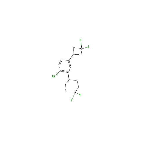 FC1(F)CCC(c2cc(C3CC(F)(F)C3)ccc2Br)CC1